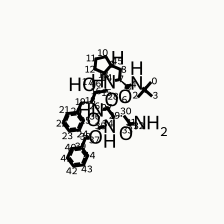 CC(C)(C)NC(=O)[C@@H]1C[C@@H]2CCC[C@@H]2N1C[C@@H](O)[C@H](Cc1ccccc1)NC(=O)[C@H](CC(N)=O)NC(=O)OCc1ccccc1